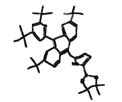 CC(C)(C)c1cc(-c2c3cc(C(C)(C)C)ccc3c(-c3ccc(B4OC(C)(C)C(C)(C)O4)[nH]3)c3ccc(C(C)(C)C)cc23)cc(C(C)(C)C)c1